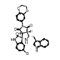 O=C1[C@@H]2[C@H](Cc3c[nH]c4ccccc34)N[C@]3(C(=O)Nc4ccc(Cl)cc43)[C@@H]2C(=O)N1c1ccc2c(c1)OCCO2